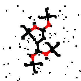 CC(C)(C)OC(CCC(OC(C)(C)C)OC(C)(C)C)OC(C)(C)C